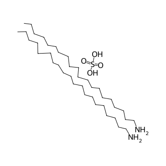 CCCCCCCCCCCCCCCCCCCCN.CCCCCCCCCCCCCCCCCCCCN.O=S(=O)(O)O